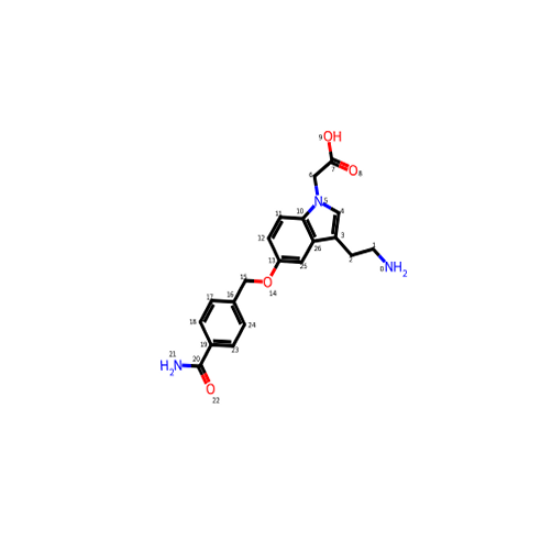 NCCc1cn(CC(=O)O)c2ccc(OCc3ccc(C(N)=O)cc3)cc12